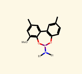 CCN(CC)p1oc2ccc(C)cc2c2cc(C)cc(OC)c2o1